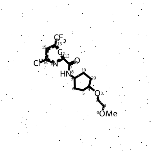 COCCOC1CCC(NC(=O)c2cc(C(F)(F)F)cc(Cl)n2)CC1